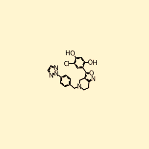 Oc1cc(O)c(-c2onc3c2CN(Cc2ccc(-n4nccn4)cc2)CC3)cc1Cl